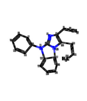 C=Cc1nc2n(-c3ccccc3)c3ccccc3n2c1/C=C\C